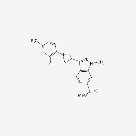 COC(=O)c1ccc2c(C3CN(c4ncc(C(F)(F)F)cc4Cl)C3)nn(C)c2c1